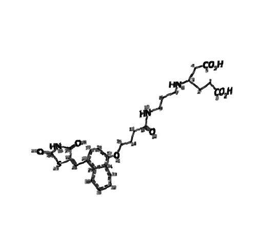 O=C(O)CCC(CC(=O)O)NCCCNC(=O)CCCOc1ccc(/C=C2/SC(=O)NC2=O)c2ccccc12